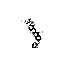 Cc1c(Cc2ccnc(NS(C)(=O)=O)c2F)c(=O)oc2cc(Oc3ncccn3)ccc12